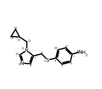 Nc1ccc(SCc2cncn2CC2CC2)cc1